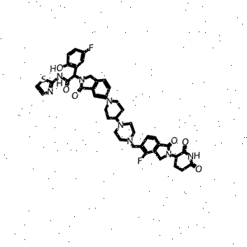 O=C1CCC(N2Cc3c(ccc(CN4CCN(C5CCN(c6ccc7c(c6)C(=O)N(C(C(=O)Nc6nccs6)c6cc(F)ccc6O)C7)CC5)CC4)c3F)C2=O)C(=O)N1